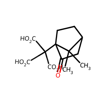 CC1(C)C2CCC1(C(C(=O)O)(C(=O)O)C(=O)O)C(=O)C2